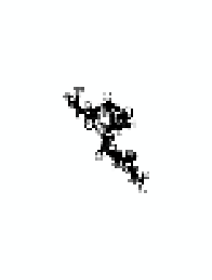 CCC(CC(C)C(=O)OCC(C)OCC(C)(C)C(=O)OCCN(C)C)C(=O)OCC(C)OCC(C)(C)C(=O)OCCN(C)C